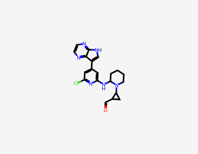 O=CC1CC1N1CCCCC1Nc1cc(-c2c[nH]c3nccnc23)cc(Cl)n1